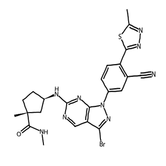 CNC(=O)[C@]1(C)CC[C@@H](Nc2ncc3c(Br)nn(-c4ccc(-c5nnc(C)s5)c(C#N)c4)c3n2)C1